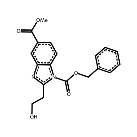 COC(=O)c1ccc2c(c1)nc(CCO)n2C(=O)OCc1ccccc1